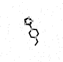 CCN1CCN(c2ncsn2)CC1